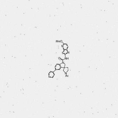 COc1ccc2nc(NC(=O)N3CC4(CCN(C(C)=O)C4)c4cc(-c5ccccc5)ccc43)sc2n1